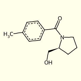 Cc1ccc(C(=O)N2CCC[C@H]2CO)cc1